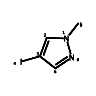 [CH2]n1cc(I)cn1